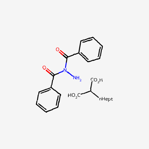 CCCCCCCC(C(=O)O)C(=O)O.NN(C(=O)c1ccccc1)C(=O)c1ccccc1